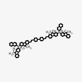 CC1(C)c2cc(/C=C/c3ccc(-c4ccc(/C=C/c5ccc6c(c5)C(C)(C)c5cc(N(c7ccc8c(c7)C(C)(C)c7ccccc7-8)c7ccc8ccccc8c7)ccc5-6)cc4)cc3)ccc2-c2ccc(N(C3=CC4C(C=C3)c3ccccc3C4(C)C)c3ccc4ccccc4c3)cc21